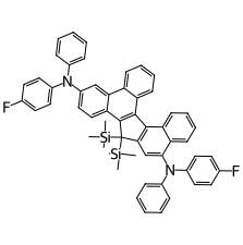 C[Si](C)(C)C1([Si](C)(C)C)c2cc(N(c3ccccc3)c3ccc(F)cc3)c3ccccc3c2-c2c1c1ccc(N(c3ccccc3)c3ccc(F)cc3)cc1c1ccccc21